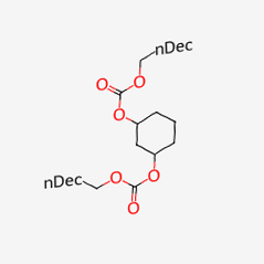 CCCCCCCCCCCOC(=O)OC1CCCC(OC(=O)OCCCCCCCCCCC)C1